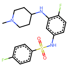 CN1CCC(Nc2cc(NS(=O)(=O)c3ccc(F)cc3)ccc2F)CC1